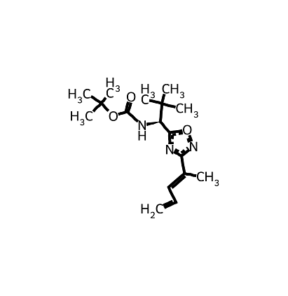 C=C/C=C(\C)c1noc([C@@H](NC(=O)OC(C)(C)C)C(C)(C)C)n1